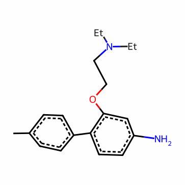 CCN(CC)CCOc1cc(N)ccc1-c1ccc(C)cc1